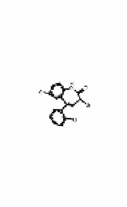 O=C1Nc2ccc(Cl)cc2C(c2ccccc2Cl)=CC1Br